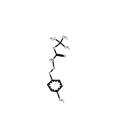 Cc1ccc(SONC(=O)OC(C)(C)C)cc1